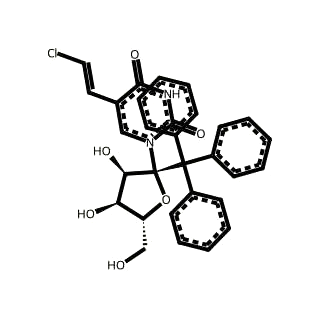 O=c1[nH]c(=O)n([C@]2(C(c3ccccc3)(c3ccccc3)c3ccccc3)O[C@H](CO)[C@@H](O)[C@H]2O)cc1C=CCl